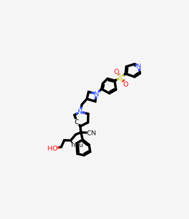 CCCC[C@@H](CCO)CC(C#N)(c1ccccc1)C1CCN(CC2CN(c3ccc(S(=O)(=O)c4ccncc4)cc3)C2)CC1